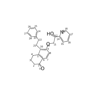 O=C1CCCc2c1ccc(OCC(O)c1ccccn1)c2CCc1ccccc1